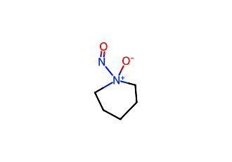 O=N[N+]1([O-])CCCCC1